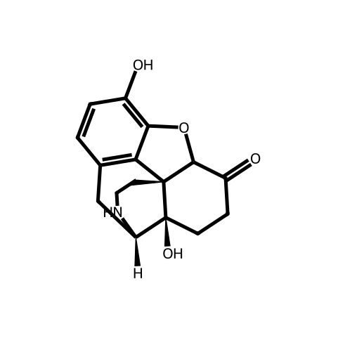 O=C1CC[C@]2(O)[C@@H]3Cc4ccc(O)c5c4[C@]2(CCN3)C1O5